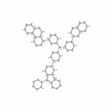 c1ccc(-n2c3ccccc3c3cc(-c4ccc(N(c5cccc(-c6ccc7ccccc7c6)c5)c5cccc(-c6cccc7c6ccc6ccccc67)c5)cc4)ccc32)cc1